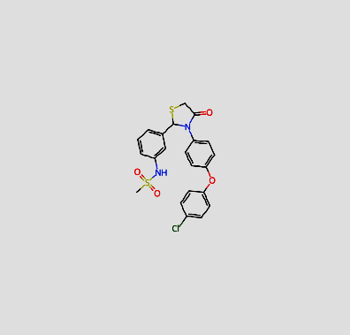 CS(=O)(=O)Nc1cccc(C2SCC(=O)N2c2ccc(Oc3ccc(Cl)cc3)cc2)c1